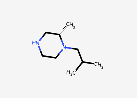 C[C](C)CN1CCNC[C@@H]1C